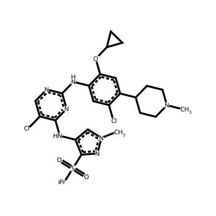 CC(C)S(=O)(=O)c1nn(C)cc1Nc1nc(Nc2cc(Cl)c(C3CCN(C)CC3)cc2OC2CC2)ncc1Cl